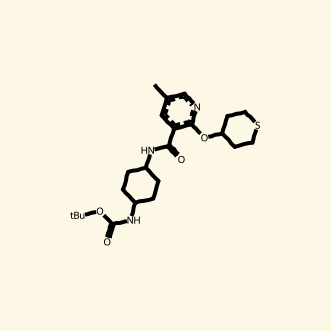 Cc1cnc(OC2CCSCC2)c(C(=O)NC2CCC(NC(=O)OC(C)(C)C)CC2)c1